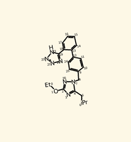 CCOc1nc(CC(C)C)n(Cc2ccc(-c3ccccc3-c3nnn[nH]3)cc2)n1